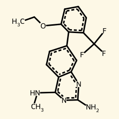 CCOc1cccc(C(F)(F)F)c1-c1ccc2c(NC)nc(N)nc2c1